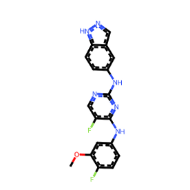 COc1cc(Nc2nc(Nc3ccc4[nH]ncc4c3)ncc2F)ccc1F